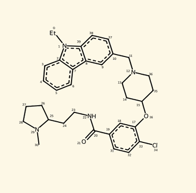 CCn1c2ccccc2c2cc(CN3CCC(Oc4cc(C(=O)NCCC5CCCN5C)ccc4Cl)CC3)ccc21